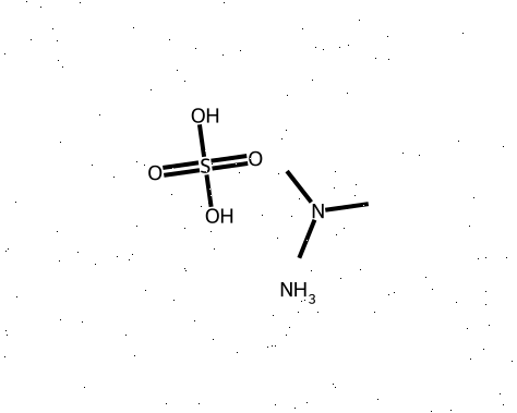 CN(C)C.N.O=S(=O)(O)O